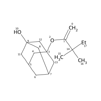 C=C(OC12CC3CC(CC(O)(C3)C1)C2)C(C)(C)CC